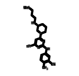 CCCc1cc(N2CCC[C@H](NCCCSC)C2)nc(Nc2ccc(C)c(C#N)c2)n1